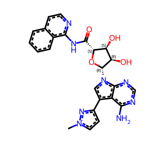 Cn1ccc(-c2cn([C@@H]3O[C@H](C(=O)Nc4nccc5ccccc45)[C@@H](O)[C@H]3O)c3ncnc(N)c23)n1